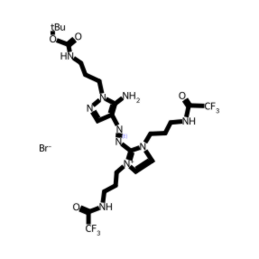 CC(C)(C)OC(=O)NCCCn1ncc(/N=N/c2n(CCCNC(=O)C(F)(F)F)cc[n+]2CCCNC(=O)C(F)(F)F)c1N.[Br-]